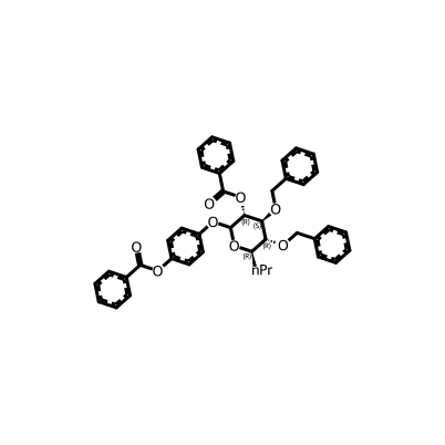 CCC[C@H]1OC(Oc2ccc(OC(=O)c3ccccc3)cc2)[C@H](OC(=O)c2ccccc2)[C@@H](OCc2ccccc2)[C@@H]1OCc1ccccc1